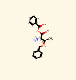 C[C@@H](OCc1ccccc1)[C@H](N)C(=O)OC(=O)c1ccccc1